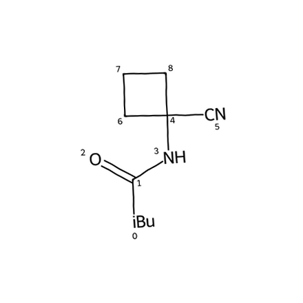 CCC(C)C(=O)NC1(C#N)CCC1